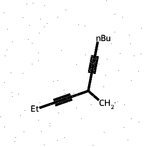 [CH2]C(C#CCC)C#CCCCC